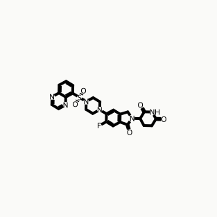 O=C1CCC(N2Cc3cc(N4CCN(S(=O)(=O)c5cccc6nccnc56)CC4)c(F)cc3C2=O)C(=O)N1